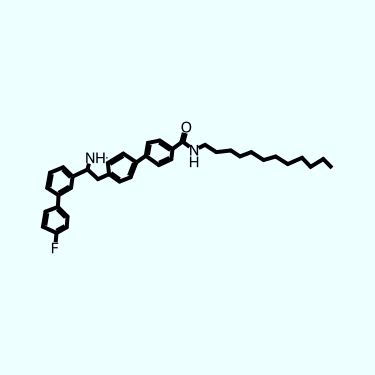 CCCCCCCCCCCCNC(=O)c1ccc(-c2ccc(CC([NH])c3cccc(-c4ccc(F)cc4)c3)cc2)cc1